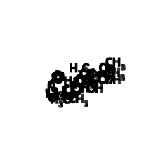 CC(=O)O[C@@H]([C@H]1C[C@@H](C)C2[C@H](O1)[C@H](O)[C@@]1(C)[C@@H]3CC[C@H]4C(C)(C)[C@@H](O[C@H]5CN(Cc6ccccc6)CCO5)CC[C@@]45C[C@@]35CC[C@]21C)C(C)(C)O